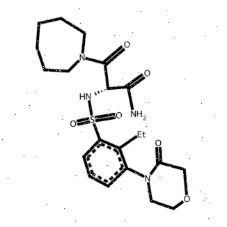 CCc1c(N2CCOCC2=O)cccc1S(=O)(=O)N[C@@H](C(N)=O)C(=O)N1CCCCCC1